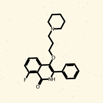 O=c1[nH]c(-c2ccccc2)c(OCCCN2CCCCC2)c2cccc(F)c12